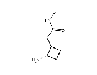 CNC(=O)OC1CC[C@@H]1N